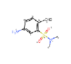 CN(C)S(=O)(=O)c1cc(N)ccc1C=O